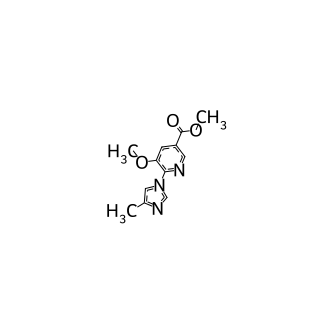 COC(=O)c1cnc(-n2cnc(C)c2)c(OC)c1